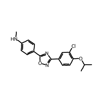 CNc1ccc(-c2nc(-c3ccc(OC(C)C)c(Cl)c3)no2)cc1